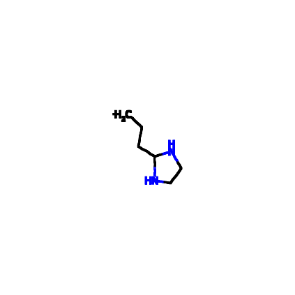 [CH2]CCC1NCCN1